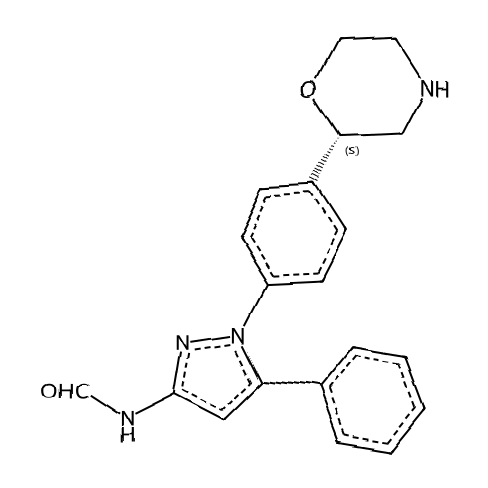 O=CNc1cc(-c2ccccc2)n(-c2ccc([C@H]3CNCCO3)cc2)n1